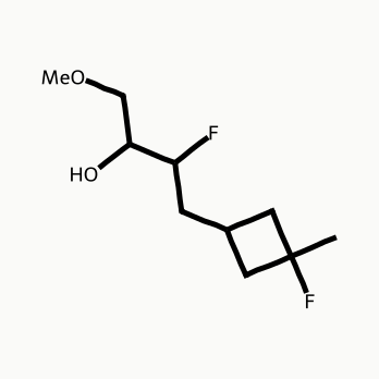 COCC(O)C(F)CC1CC(C)(F)C1